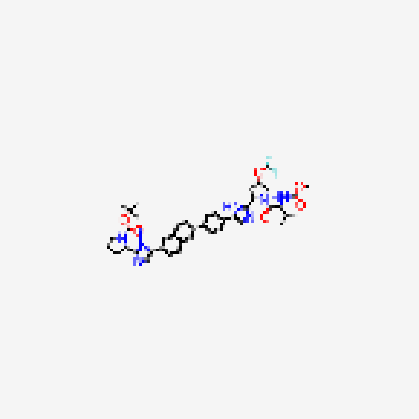 COC(=O)NC(C(=O)N1CC(OC(F)F)CC1c1ncc(-c2ccc(-c3ccc4cc(-c5cnc(C6CCCN6C(=O)OC(C)(C)C)[nH]5)ccc4c3)cc2)[nH]1)C(C)C